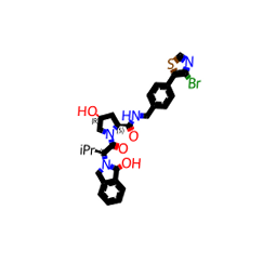 CC(C)[C@@H](C(=O)N1C[C@H](O)C[C@H]1C(=O)NCc1ccc(-c2scnc2Br)cc1)N1Cc2ccccc2C1O